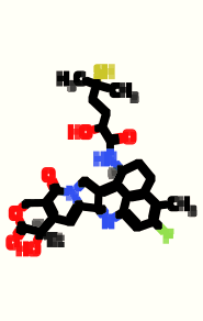 CC[C@@]1(O)C(=O)OCc2c1cc1n(c2=O)Cc2c-1nc1cc(F)c(C)c3c1c2[C@@H](NC(=O)C(O)CCC(C)(C)S)CC3